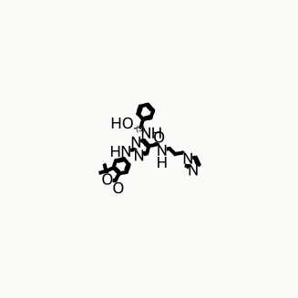 CC1(C)OC(=O)c2ccc(Nc3ncc(C(=O)NCCCn4ccnc4)c(N[C@H](CO)c4ccccc4)n3)cc21